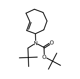 CC(C)(C)CN(C(=O)OC(C)(C)C)C1/C=C/CCCCC1